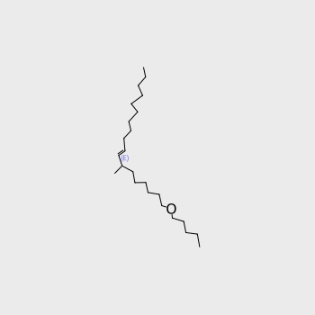 CCCCCCCCC/C=C/C(C)CCCCCCOCCCCC